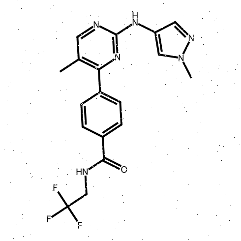 Cc1cnc(Nc2cnn(C)c2)nc1-c1ccc(C(=O)NCC(F)(F)F)cc1